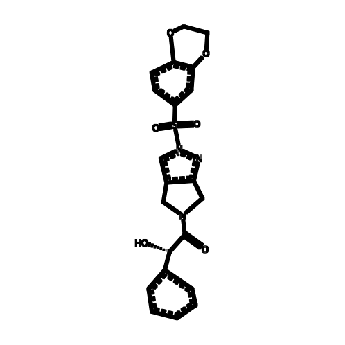 O=C([C@@H](O)c1ccccc1)N1Cc2cn(S(=O)(=O)c3ccc4c(c3)OCCO4)nc2C1